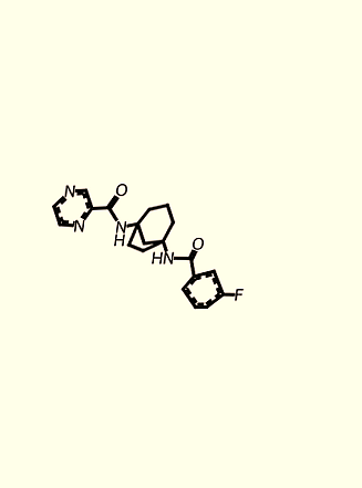 O=C(NC12CCCC(NC(=O)c3cnccn3)(CC1)C2)c1cccc(F)c1